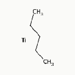 CCCCC.[Ti]